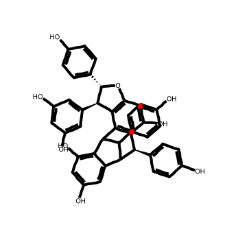 Oc1ccc(C2C3c4c(O)cc(O)cc4C2[C@H](c2ccc(O)cc2)c2c(O)cc4c(c23)[C@@H](c2cc(O)cc(O)c2)[C@H](c2ccc(O)cc2)O4)cc1